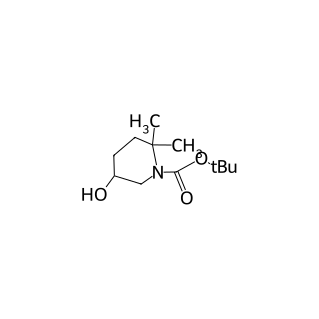 CC(C)(C)OC(=O)N1CC(O)CCC1(C)C